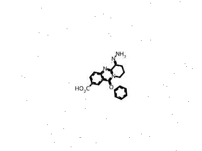 NN=C1CCCn2c1nc1ccc(C(=O)O)cc1c2=O.c1ccccc1